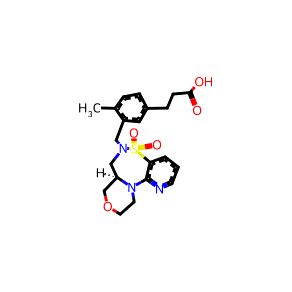 Cc1ccc(CCC(=O)O)cc1CN1C[C@@H]2COCCN2c2ncccc2S1(=O)=O